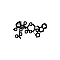 COc1ccnc(C(=O)N[C@H]2COC[C@H](Cc3cccc4ccccc34)[C@@H](OC3CCCC3)[C@H](C)OC2=O)c1OCOC(C)=O